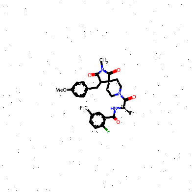 COc1ccc(CC2C(=O)N(C)C(=O)C23CCN(C(=O)[C@H](NC(=O)c2cc(C(F)(F)F)ccc2F)C(C)C)CC3)cc1